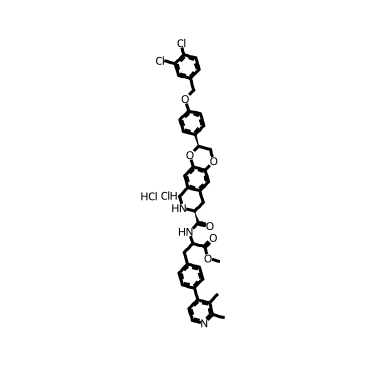 COC(=O)C(Cc1ccc(-c2ccnc(C)c2C)cc1)NC(=O)[C@@H]1Cc2cc3c(cc2CN1)O[C@@H](c1ccc(OCc2ccc(Cl)c(Cl)c2)cc1)CO3.Cl.Cl